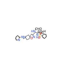 Cc1ccccc1S(=O)(=O)N[C@H](C(=O)O)C(NC=O)C1=NOC2(CCC(CNc3ccccn3)CC2)C1